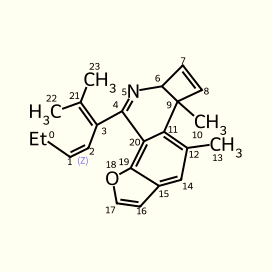 CC/C=C\C(C1=NC2C=CC2(C)c2c(C)cc3ccoc3c21)=C(C)C